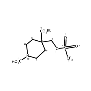 CCOC(=O)C1(COS(=O)(=O)C(F)(F)F)CCN(C(=O)O)CC1